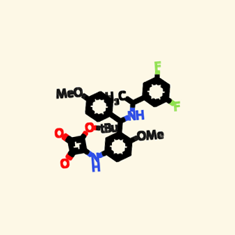 COc1ccc(C(NC(C)c2cc(F)cc(F)c2)c2cc(Nc3c(OC(C)(C)C)c(=O)c3=O)ccc2OC)cc1